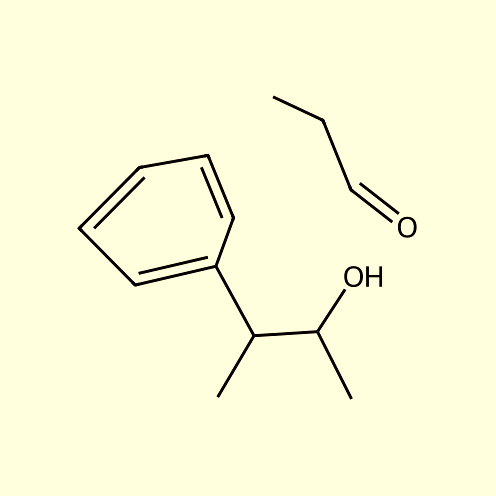 CC(O)C(C)c1ccccc1.CCC=O